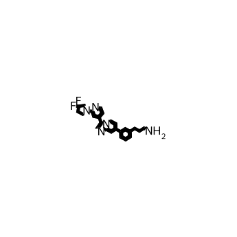 NCCCc1cccc(-c2ccn3c(-c4ccnc(N5CCC(F)(F)C5)c4)cnc3c2)c1